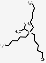 CCCCC[CH2][Sn]([CH2]CCCCC)([CH2]CCCCC)[CH](C)C